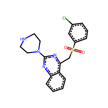 O=S(=O)(Cc1nc(N2CCNCC2)nc2ccccc12)c1cccc(Cl)c1